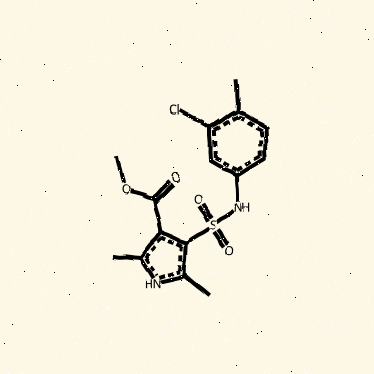 COC(=O)c1c(C)[nH]c(C)c1S(=O)(=O)Nc1ccc(C)c(Cl)c1